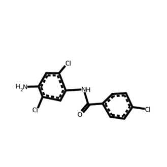 Nc1cc(Cl)c(NC(=O)c2ccc(Cl)cc2)cc1Cl